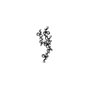 C=CC(=O)OCCOC(C)COC(CC)(OCC(C)OCCOC(=O)C=C)OCC(C)OCCOC(=O)C=C